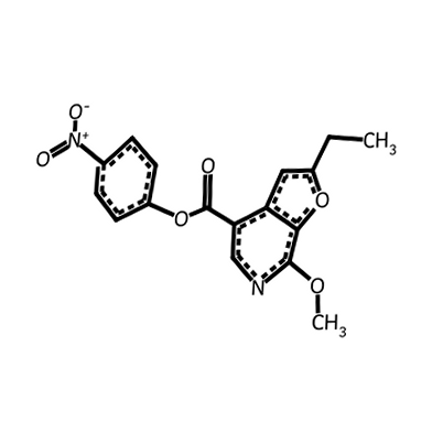 CCc1cc2c(C(=O)Oc3ccc([N+](=O)[O-])cc3)cnc(OC)c2o1